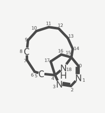 C1=NC=NC23CCCCCCCCCCC1(CC2)N3